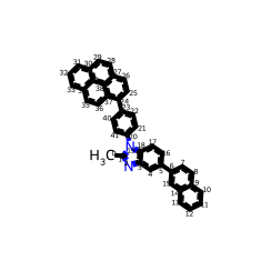 Cc1nc2cc(-c3ccc4ccccc4c3)ccc2n1-c1ccc(-c2ccc3ccc4cccc5ccc2c3c45)cc1